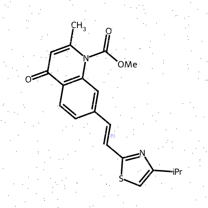 COC(=O)n1c(C)cc(=O)c2ccc(/C=C/c3nc(C(C)C)cs3)cc21